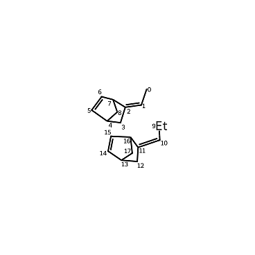 C/C=C1/CC2C=CC1C2.CC/C=C1/CC2C=CC1C2